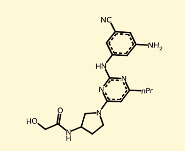 CCCc1cc(N2CCC(NC(=O)CO)C2)nc(Nc2cc(N)cc(C#N)c2)n1